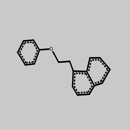 c1ccc(OCCc2cccc3ccccc23)cc1